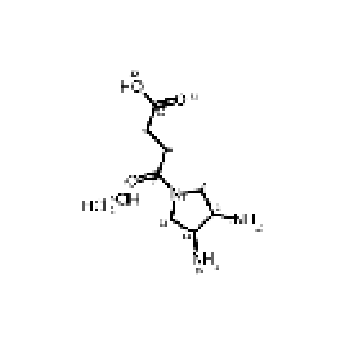 Cl.Cl.NC1CN(C(=O)CCC(=O)O)CC1N